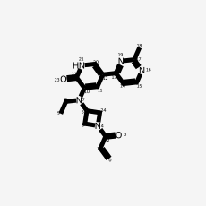 C=CC(=O)N1CC(N(CC)c2cc(-c3ccnc(C)n3)c[nH]c2=O)C1